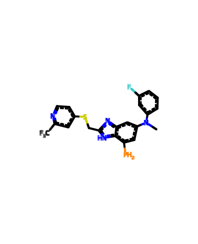 CN(c1cccc(F)c1)c1cc(P)c2[nH]c(CSc3ccnc(C(F)(F)F)c3)nc2c1